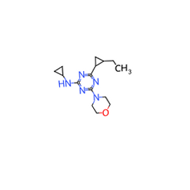 CCC1CC1c1nc(NC2CC2)nc(N2CCOCC2)n1